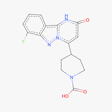 O=C(O)N1CCC(c2cc(=O)[nH]c3c4cccc(F)c4nn23)CC1